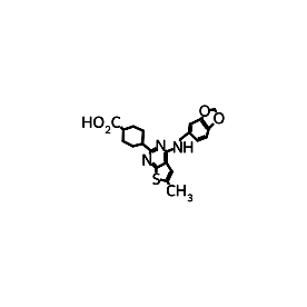 Cc1cc2c(NCc3ccc4c(c3)OCO4)nc(C3CCC(C(=O)O)CC3)nc2s1